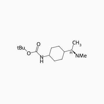 CN[C@H](C)C1CCC(NC(=O)OC(C)(C)C)CC1